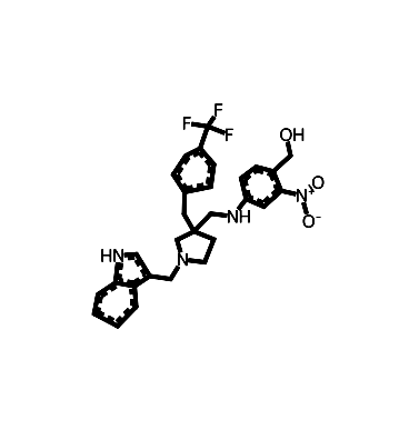 O=[N+]([O-])c1cc(NCC2(Cc3ccc(C(F)(F)F)cc3)CCN(Cc3c[nH]c4ccccc34)C2)ccc1CO